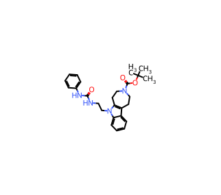 CC(C)(C)OC(=O)N1CCc2c(n(CCNC(=O)Nc3ccccc3)c3ccccc23)CC1